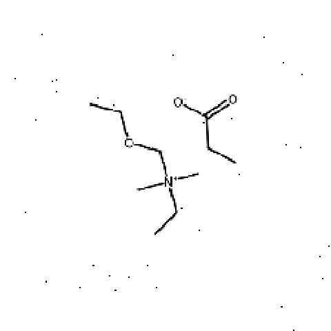 CCC(=O)[O-].CCOC[N+](C)(C)CC